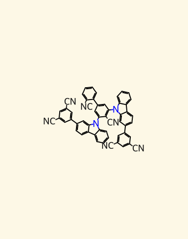 N#Cc1cc(C#N)cc(-c2ccc3c4ccccc4n(-c4cc(-c5ccccc5C#N)cc(-n5c6ccccc6c6ccc(-c7cc(C#N)cc(C#N)c7)cc65)c4C#N)c3c2)c1